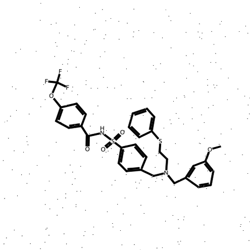 COc1cccc(CN(CCSc2ccccc2)Cc2ccc(S(=O)(=O)NC(=O)c3ccc(OC(F)(F)F)cc3)cc2)c1